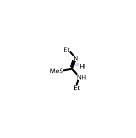 CC/N=C(/NCC)SC.I